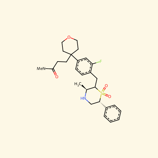 CNC(=O)CCC1(c2ccc(CC3[C@H](C)NC[C@@H](c4ccccc4)S3(=O)=O)c(F)c2)CCOCC1